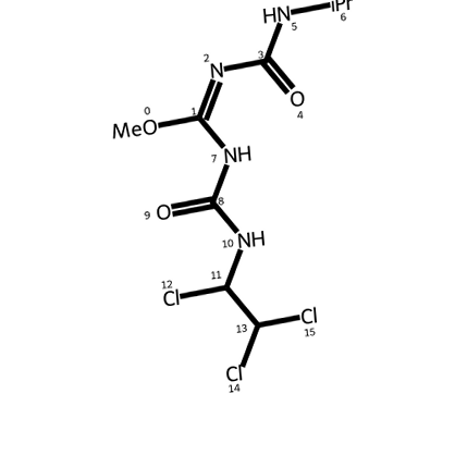 COC(=NC(=O)NC(C)C)NC(=O)NC(Cl)C(Cl)Cl